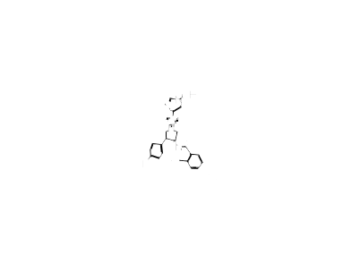 Cn1cnc(S(=O)(=O)N2CC(NC(=O)c3ccc(C(F)(F)F)cc3Cl)C(c3ccc(F)cc3)C2)c1